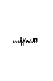 CNNNC(=O)OCCSSc1ccccn1